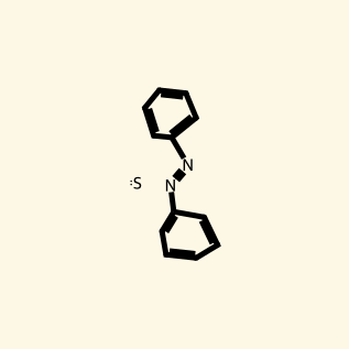 [S].c1ccc(N=Nc2ccccc2)cc1